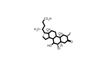 CC[C@H]1C(O)C2C3CC[C@H]([C@H](C)CCC(=O)O)[C@@]3(C)CCC2[C@@]2(C)C[C@@H](F)C(=O)C[C@@H]12